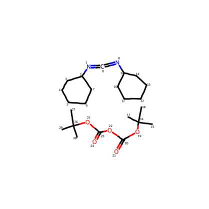 C(=NC1CCCCC1)=NC1CCCCC1.CC(C)(C)OC(=O)OC(=O)OC(C)(C)C